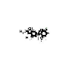 C=CC(C)(c1ccc(CC(C)C)c(C)c1)C1CC(Cl)=CC=C1C